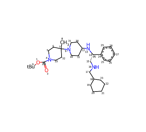 CC(C)(C)OC(=O)N1CCC(C)(N2CCC(N[C@@H](CNCC3CCCCC3)c3ccccc3)CC2)CC1